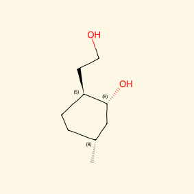 C[C@@H]1CC[C@@H](CCO)[C@H](O)C1